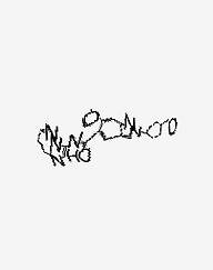 COc1cc2nn(C3CCC(C=O)CC3)cc2cc1C(=O)Nc1cnc2cccnn12